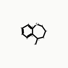 CC1CCCSc2ccccc21